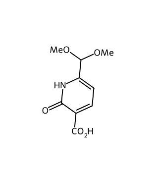 COC(OC)c1ccc(C(=O)O)c(=O)[nH]1